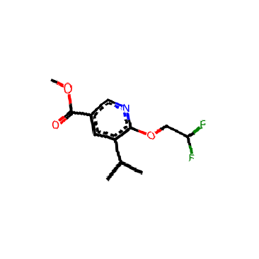 COC(=O)c1cnc(OCC(F)F)c(C(C)C)c1